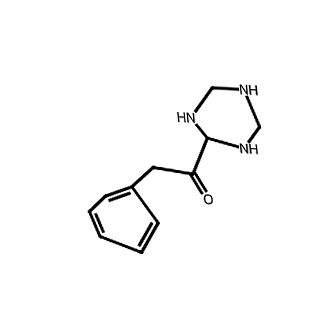 O=C(Cc1ccccc1)C1NCNCN1